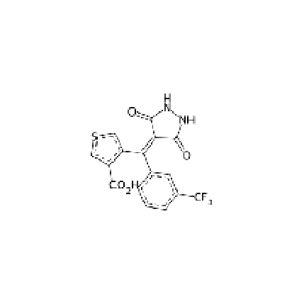 O=C1NNC(=O)C1=C(c1cccc(C(F)(F)F)c1)c1cscc1C(=O)O